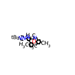 Cc1cc(CN(C)C(=O)c2cnc(N3CCN(C(C)(C)C)CC3)cc2-c2ccccc2C)cc(C(F)(F)F)c1